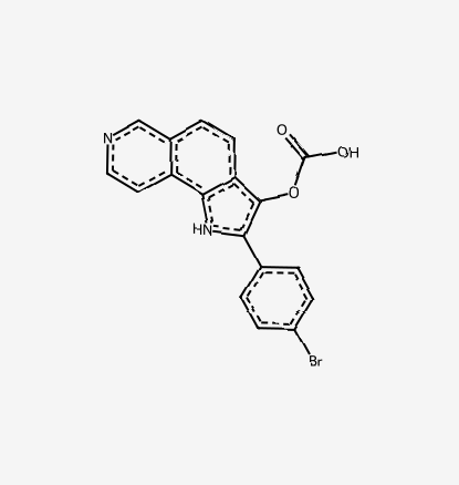 O=C(O)Oc1c(-c2ccc(Br)cc2)[nH]c2c1ccc1cnccc12